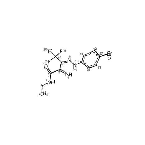 CCNC(=O)C(=N)/C(=N\Nc1ccc(Br)cc1)C(F)(F)F